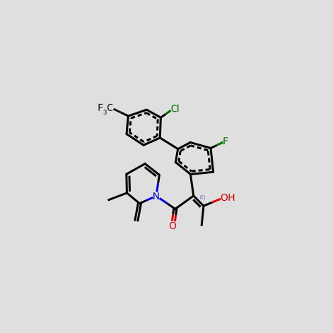 C=C1C(C)=CC=CN1C(=O)/C(=C(\C)O)c1cc(F)cc(-c2ccc(C(F)(F)F)cc2Cl)c1